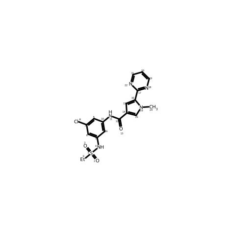 CCS(=O)(=O)Nc1cc(Cl)cc(NC(=O)c2cc(-c3ncccn3)n(C)c2)c1